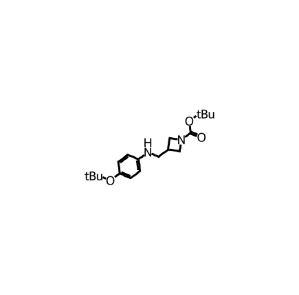 CC(C)(C)OC(=O)N1CC(CNc2ccc(OC(C)(C)C)cc2)C1